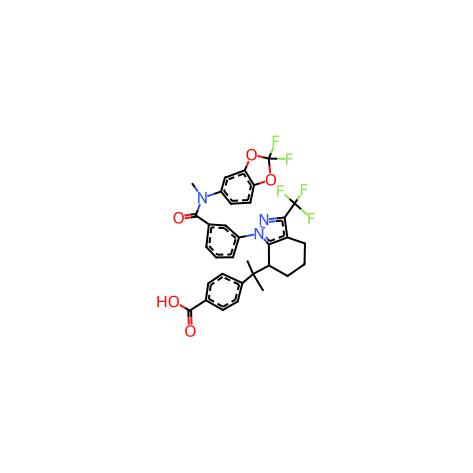 CN(C(=O)c1cccc(-n2nc(C(F)(F)F)c3c2C(C(C)(C)c2ccc(C(=O)O)cc2)CCC3)c1)c1ccc2c(c1)OC(F)(F)O2